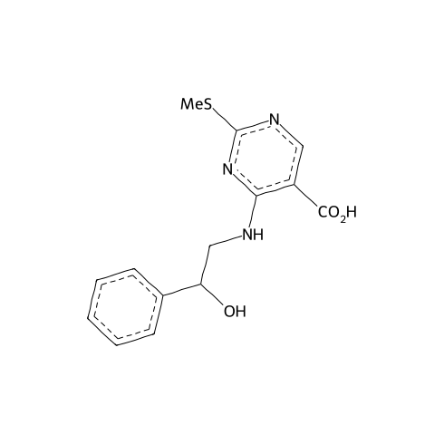 CSc1ncc(C(=O)O)c(NCC(O)c2ccccc2)n1